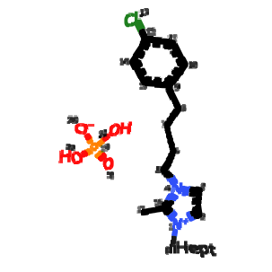 CCCCCCC[n+]1ccn(CCCCc2ccc(Cl)cc2)c1C.O=P([O-])(O)O